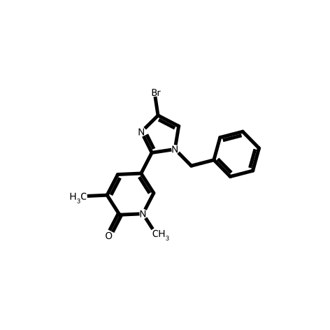 Cc1cc(-c2nc(Br)cn2Cc2ccccc2)cn(C)c1=O